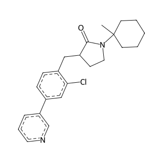 CC1(N2CCC(Cc3ccc(-c4cccnc4)cc3Cl)C2=O)CCCCC1